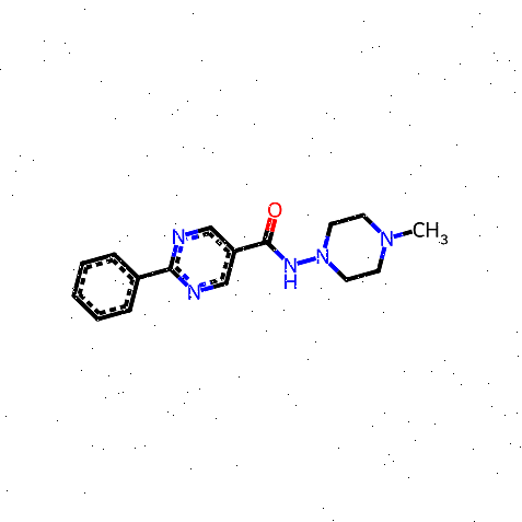 CN1CCN(NC(=O)c2cnc(-c3ccccc3)nc2)CC1